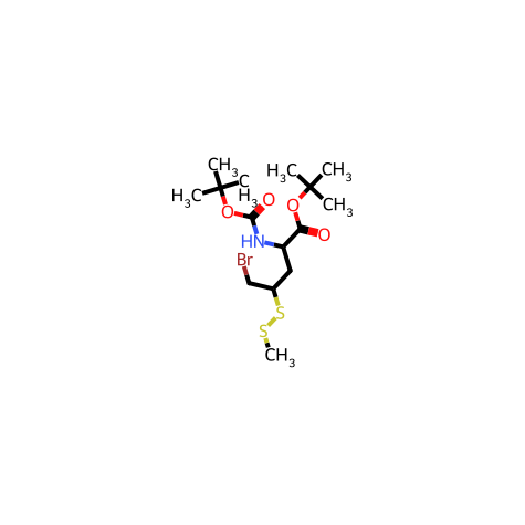 CSSC(CBr)CC(NC(=O)OC(C)(C)C)C(=O)OC(C)(C)C